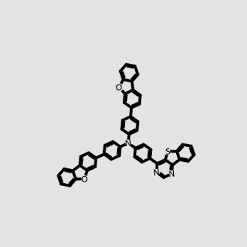 c1ccc2c(c1)oc1cc(-c3ccc(N(c4ccc(-c5ccc6c(c5)oc5ccccc56)cc4)c4ccc(-c5ncnc6c5sc5ccccc56)cc4)cc3)ccc12